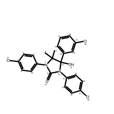 CC1(C)N(c2ccc(Cl)cc2)C(=O)N(c2ccc(Cl)cc2)C1(O)c1cccc(Cl)c1